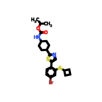 CC(C)OC(=O)NC1CCC(c2ncc(-c3ccc(Br)cc3SC3CCC3)s2)CC1